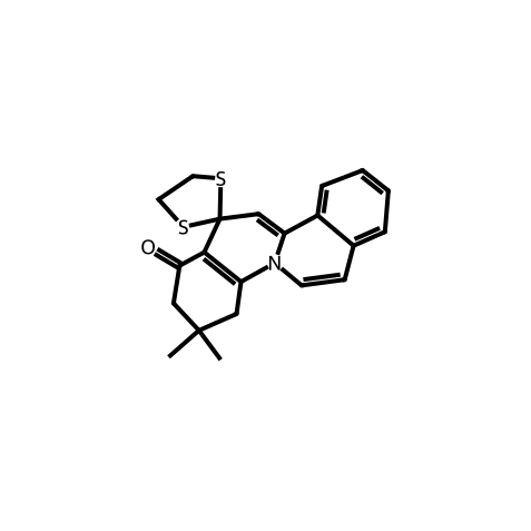 CC1(C)CC(=O)C2=C(C1)N1C=Cc3ccccc3C1=CC21SCCS1